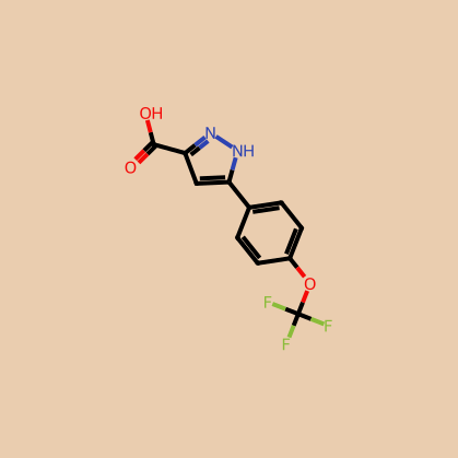 O=C(O)c1cc(-c2ccc(OC(F)(F)F)cc2)[nH]n1